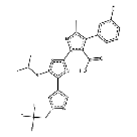 Cc1nn(-c2nc(-c3cnn(CC(F)(F)F)c3)c(SC(C)C)s2)c(C(=O)O)c1-c1cccc(F)c1